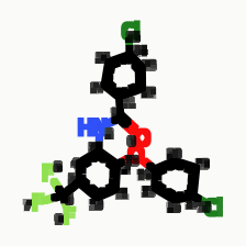 O=C(Nc1cc(C(F)(F)F)ccc1Oc1ccc(Cl)cc1)c1ccc(Cl)cc1